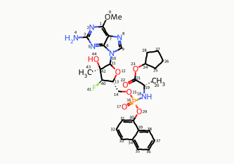 COc1nc(N)nc2c1ncn2C1O[C@H](COP(=O)(N[C@@H](C)C(=O)OC2CCCC2)Oc2cccc3ccccc23)[C@@H](F)[C@@]1(C)O